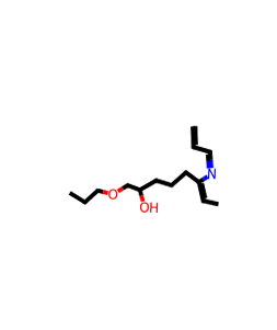 C=C/C=N\C(=C/C)CCCC(O)COCCC